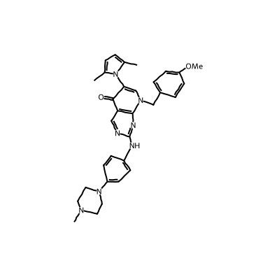 COc1ccc(Cn2cc(-n3c(C)ccc3C)c(=O)c3cnc(Nc4ccc(N5CCN(C)CC5)cc4)nc32)cc1